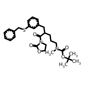 CN(CCCC(Cc1cccc(SCc2ccccc2)c1)C(=O)N1CCOC1=O)C(=O)OC(C)(C)C